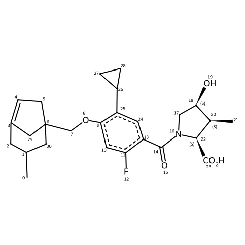 CC1CC2=CCC(COc3cc(F)c(C(=O)N4C[C@@H](O)[C@@H](C)[C@H]4C(=O)O)cc3C3CC3)(C2)C1